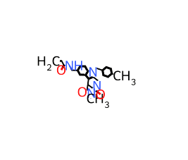 C=CC(=O)NCc1ccc2c(c1)c1c(n2Cc2ccc(C)cc2)CN2CC1C(=O)N(C)C2=O